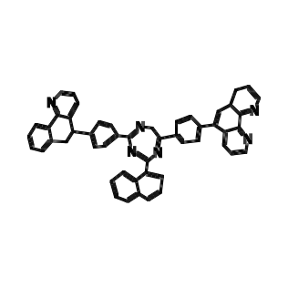 C1=CN=C2c3ncccc3C(c3ccc(C4=NC(c5cccc6ccccc56)=NC(c5ccc(C6Cc7ccccc7-c7ncccc76)cc5)=NC4)cc3)=CC2C1